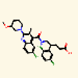 COC1CCCN(c2nc3ccc(Br)cc3c(C(=O)NCC(CCC(=O)O)c3cc(F)ccc3Cl)c2C)C1